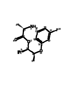 CC(C)[C@@H](OC(=O)[C@H](C)N)[C@H](C)Oc1cccc(F)c1